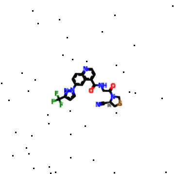 N#C[C@@H]1CSCN1C(=O)CNC(=O)c1ccnc2ccc(-n3ccc(C(F)(F)F)n3)cc12